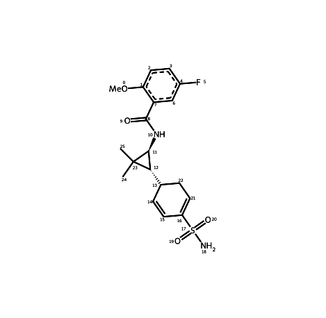 COc1ccc(F)cc1C(=O)N[C@H]1[C@H](C2C=CC(S(N)(=O)=O)=CC2)C1(C)C